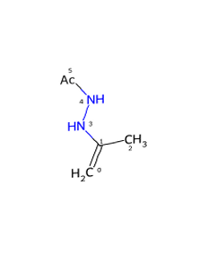 C=C(C)NNC(C)=O